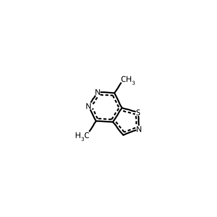 Cc1nnc(C)c2sncc12